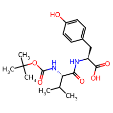 CC(C)[C@H](NC(=O)OC(C)(C)C)C(=O)N[C@@H](Cc1ccc(O)cc1)C(=O)O